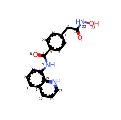 O=C(Cc1ccc(C(=O)Nc2cccc3cccnc23)cc1)NO